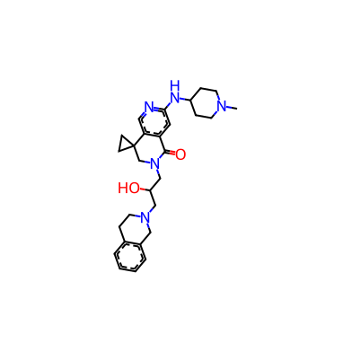 CN1CCC(Nc2cc3c(cn2)C2(CC2)CN(CC(O)CN2CCc4ccccc4C2)C3=O)CC1